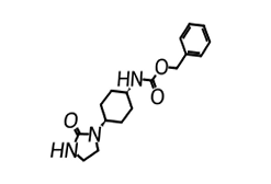 O=C(N[C@H]1CC[C@H](N2CCNC2=O)CC1)OCc1ccccc1